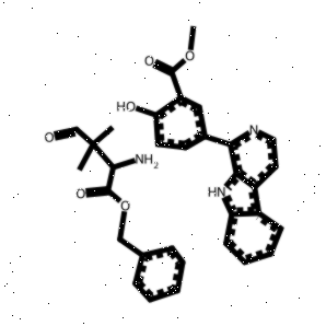 CC(C)(C=O)C(N)C(=O)OCc1ccccc1.COC(=O)c1cc(-c2nccc3c2[nH]c2ccccc23)ccc1O